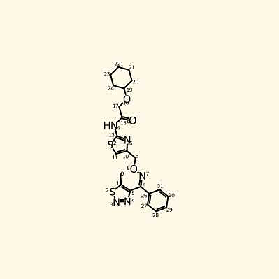 Cc1snnc1C(=NOCc1csc(NC(=O)COC2CCCCC2)n1)c1ccccc1